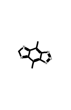 Cc1c2c(c(C)c3c1=NCN=3)N=S=N2